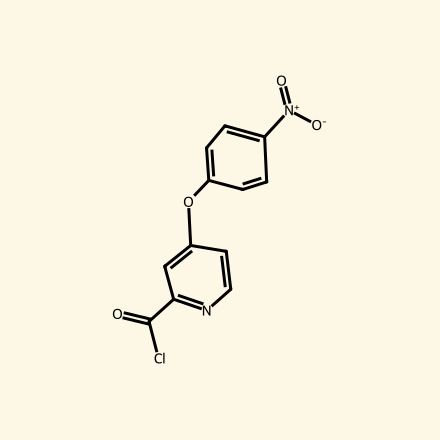 O=C(Cl)c1cc(Oc2ccc([N+](=O)[O-])cc2)ccn1